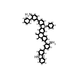 CC1c2cc(-c3cc(-c4ccc5[nH]c6ccccc6c5c4)ccc3N)ccc2-c2cc3c(cc2C1C)c1cc(-c2ccc(N)c(C4C=CC=CC4)c2)ccc1n3-c1ccccc1